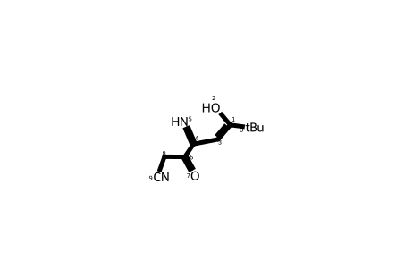 CC(C)(C)/C(O)=C/C(=N)C(=O)CC#N